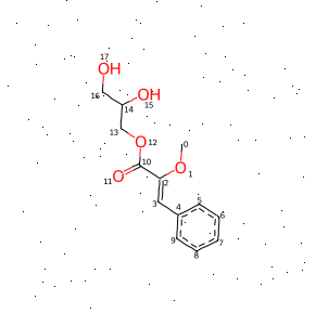 COC(=Cc1ccccc1)C(=O)OCC(O)CO